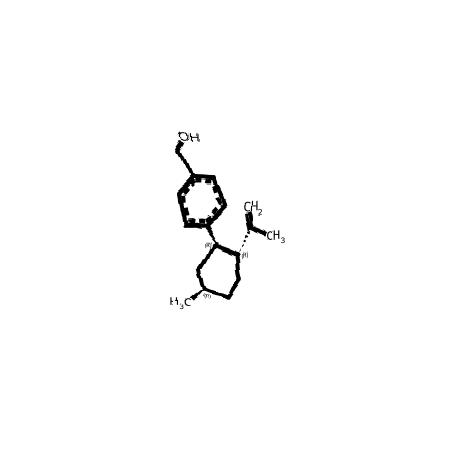 C=C(C)[C@@H]1CC[C@@H](C)C[C@H]1c1ccc(CO)cc1